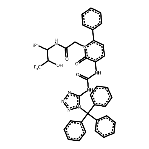 CC(C)C(NC(=O)Cn1c(-c2ccccc2)ccc(NC(=O)Nc2nnnn2C(c2ccccc2)(c2ccccc2)c2ccccc2)c1=O)C(O)C(F)(F)F